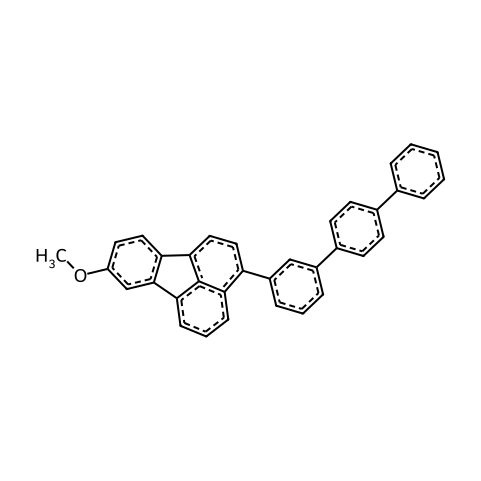 COc1ccc2c(c1)-c1cccc3c(-c4cccc(-c5ccc(-c6ccccc6)cc5)c4)ccc-2c13